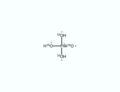 [16O]=P([16OH])([16OH])[16OH]